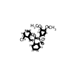 COc1ccc(N2C(=O)N(Cc3c(Cl)cncc3Cl)c3ccccc3S2(=O)=O)cc1OC